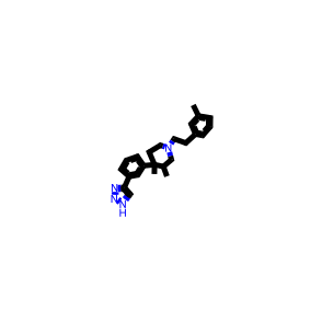 Cc1cccc(CCN2CCC(C)(c3cccc(-c4c[nH]nn4)c3)C(C)C2)c1